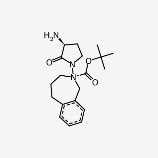 CC(C)(C)OC(=O)[N+]1(N2CC[C@H](N)C2=O)CCCc2ccccc2C1